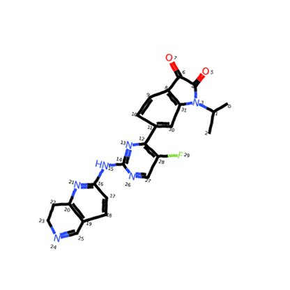 CC(C)N1C(=O)C(=O)c2ccc(-c3nc(Nc4ccc5c(n4)CCN=C5)ncc3F)cc21